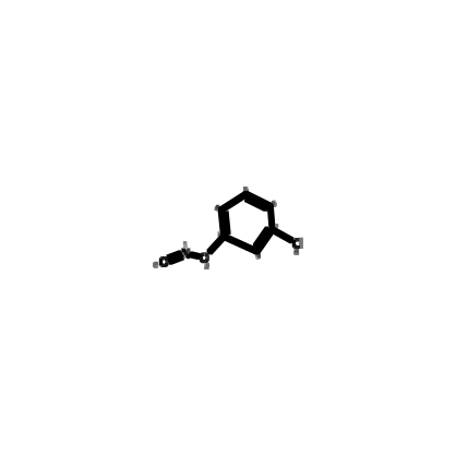 O=NOc1cccc(Cl)c1